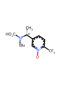 C[C@H](c1ccc(C(F)(F)F)[n+]([O-])c1)N(C(=O)O)C(C)(C)C